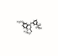 CCCCN(Cc1cccc(S(=O)(=O)O)c1)c1cc(OC)ccc1OC